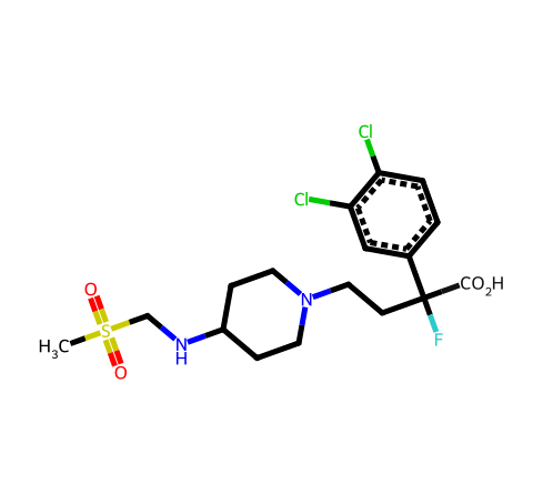 CS(=O)(=O)CNC1CCN(CCC(F)(C(=O)O)c2ccc(Cl)c(Cl)c2)CC1